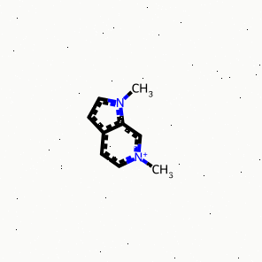 Cn1ccc2cc[n+](C)cc21